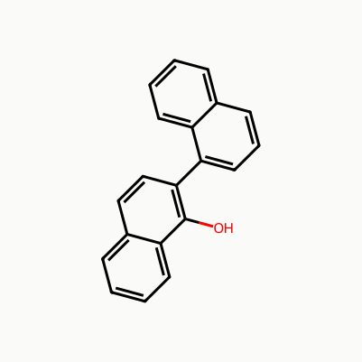 Oc1c(-c2cccc3ccccc23)ccc2ccccc12